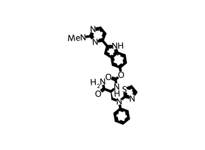 CNc1nccc(-c2cc3cc(OC(=O)N[C@@H](CN(c4ccccc4)c4nccs4)C(N)=O)ccc3[nH]2)n1